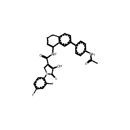 CC(=O)Nc1ccc(-c2ccc3c(c2)C(NC(=O)C2=C(O)C(=O)N(c4ccc(F)cc4F)C2)CCC3)cc1